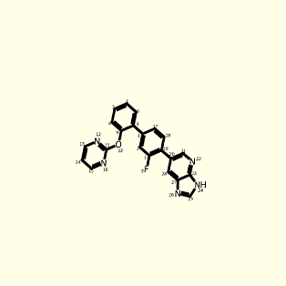 Fc1cc(-c2ccccc2Oc2ncccn2)ccc1-c1cnc2[nH]cnc2c1